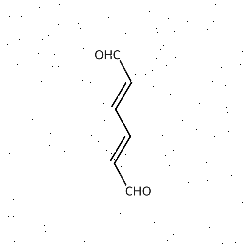 O=CC=CC=CC=O